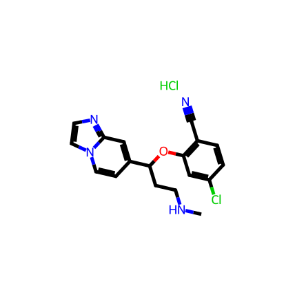 CNCCC(Oc1cc(Cl)ccc1C#N)c1ccn2ccnc2c1.Cl